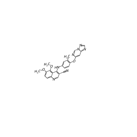 COc1ccc2ncc(C#N)c(Nc3ccc(Oc4cc5ncnn5cn4)c(C)c3)c2c1OC